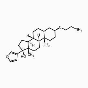 C[C@]12CC[C@H](OCCN)CC1CC[C@@H]1[C@@H]2CC[C@@]2(C)[C@H]1CC[C@@]2(O)c1ccoc1